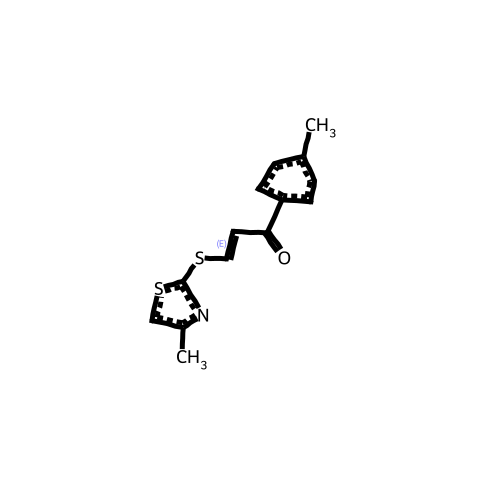 Cc1ccc(C(=O)/C=C/Sc2nc(C)cs2)cc1